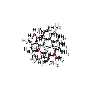 PP(P)P(P(P)P)P(P(P)P)P(P(P(P)P)P(P)P)P(P(P(P(P)P)P(P)P)P(P(P)P)P(P)P)P(P(P(P(P)P)P(P)P)P(P(P)P)P(P)P)P(P(P(P)P)P(P)P)P(P(P)P)P(P)P